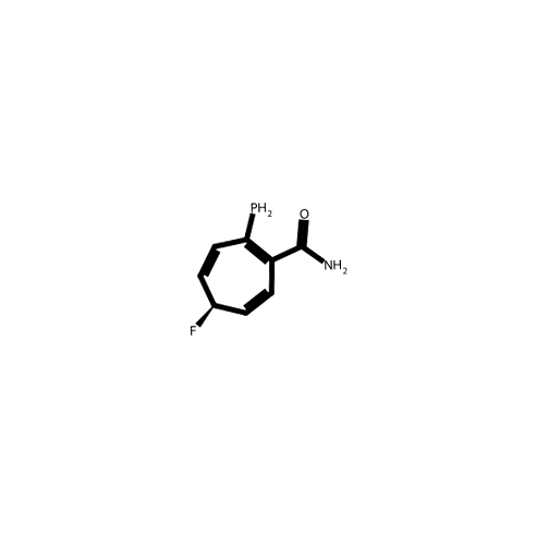 NC(=O)C1=C(P)C=C[C@H](F)C=C1